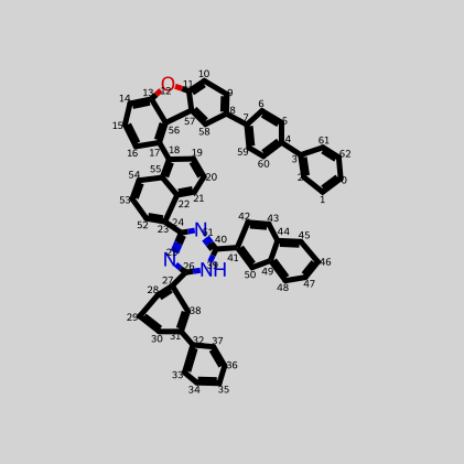 c1ccc(-c2ccc(-c3ccc4oc5cccc(-c6cccc7c(C8=NC(c9cccc(-c%10ccccc%10)c9)NC(c9ccc%10ccccc%10c9)=N8)cccc67)c5c4c3)cc2)cc1